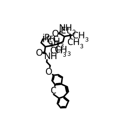 CCC(C)(C)C(CC(C)(C)C(C)(C)C(CC(C)C)C(=O)NCCOc1ccc2c(c1)CCc1ccccc1C#C2)C(N)=O